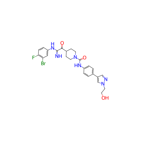 N=C(Nc1ccc(F)c(Br)c1)C(=O)C1CCN(C(=O)Nc2ccc(-c3cnn(CCO)c3)cc2)CC1